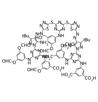 CC(C)(C)c1nn(-c2nc(Nc3cc(OC=O)cc(OC=O)c3)nc(Nc3cc(OC=O)cc(C(=O)O)c3)n2)c(N)c1N=Nc1nnc(Sc2nc(Nc3cc(CO)cc(OC=O)c3)nc(Sc3nnc(N=Nc4c(C(C)(C)C)nn(-c5nc(Nc6cc(OC=O)cc(C(=O)O)c6)nc(Nc6cc(C(=O)O)cc(C(=O)O)c6)n5)c4N)s3)n2)s1